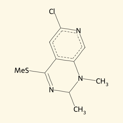 CSC1=NC(C)N(C)c2cnc(Cl)cc21